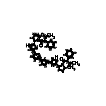 CN(C)[C@@H](C(=O)N1CCC[C@H]1c1nc(-c2ccc(-c3ccc(-c4c[nH]c([C@@H]5CCCN5C(=O)[C@@H](c5ccccc5)N(C)C)n4)s3)s2)c[nH]1)c1ccccc1